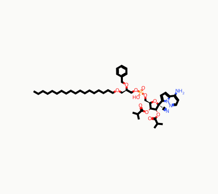 CCCCCCCCCCCCCCCCCCOC[C@H](COP(=O)(O)OC[C@H]1O[C@@](C#N)(c2ccc3c(N)ccnn23)[C@H](OC(=O)C(C)C)[C@@H]1OC(=O)C(C)C)OCc1ccccc1